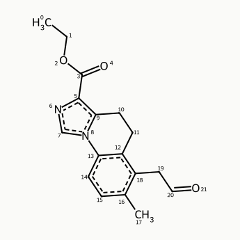 CCOC(=O)c1ncn2c1CCc1c-2ccc(C)c1CC=O